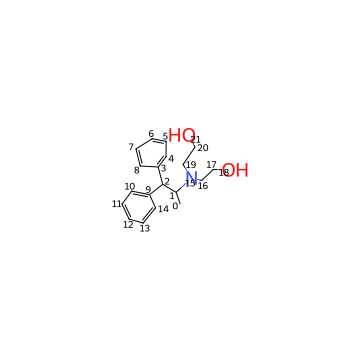 CC(C(c1ccccc1)c1ccccc1)N(CCO)CCO